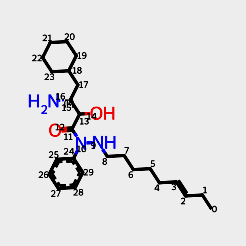 CCC=CCCCCCNN(C(=O)C(O)[C@H](N)CC1CCCCC1)c1ccccc1